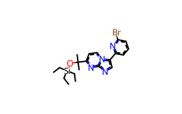 CC[Si](CC)(CC)OC(C)(C)c1ccn2c(-c3cccc(Br)n3)cnc2n1